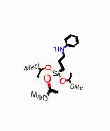 COC(C)O[Si](CCCNc1ccccc1)(OC(C)OC)OC(C)OC